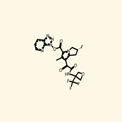 Cc1c(C(=O)C(=O)NC2(C(F)(F)F)COC2)c2n(c1C(=O)On1nnc3cccnc31)C[C@H](F)C2